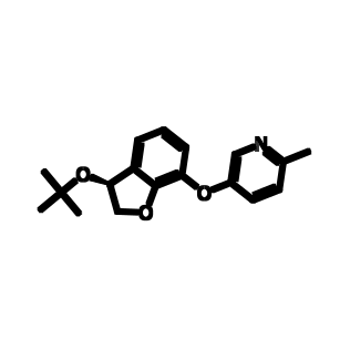 Cc1ccc(Oc2cccc3c2OC[C@H]3OC(C)(C)C)cn1